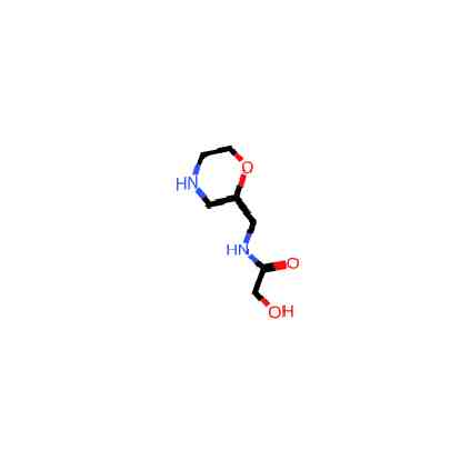 O=C(CO)NCC1CNCCO1